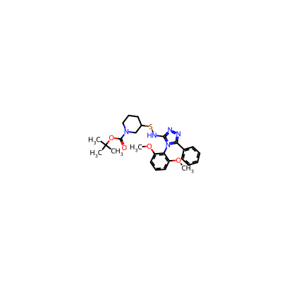 COc1cccc(OC)c1-n1c(NSC2CCCN(C(=O)OC(C)(C)C)C2)nnc1-c1ccccc1